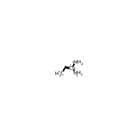 C[CH]=[Cu]([NH2])[NH2]